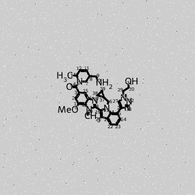 COc1cc(C(=O)N2CC(CN)C=C[C@@H]2C)cc2nc(-c3cc4cccc(-c5cn(CCO)nn5)c4n3CC3CC3)n(C)c12